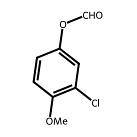 COc1ccc(OC=O)cc1Cl